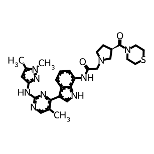 Cc1cnc(Nc2cc(C)n(C)n2)nc1-c1c[nH]c2c(NC(=O)CN3CC[C@@H](C(=O)N4CCSCC4)C3)cccc12